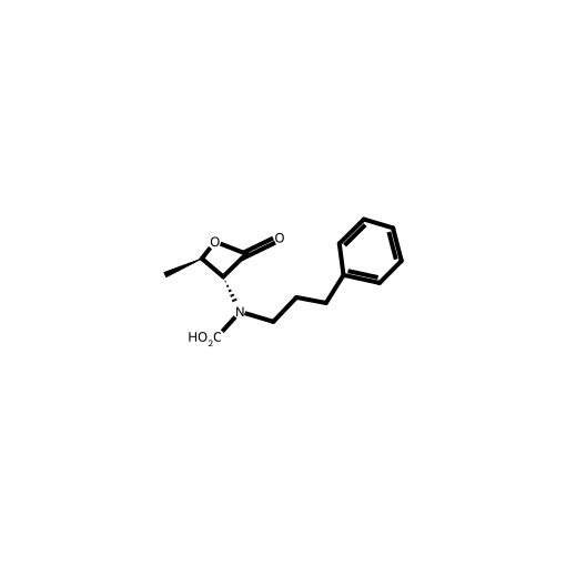 C[C@H]1OC(=O)[C@@H]1N(CCCc1ccccc1)C(=O)O